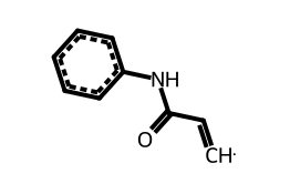 [CH]=CC(=O)Nc1ccccc1